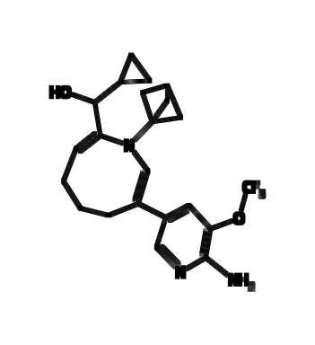 Nc1ncc(/C2=C/N(C34CC(C3)C4)/C(C(O)C3CC3)=C\CCC2)cc1OC(F)(F)F